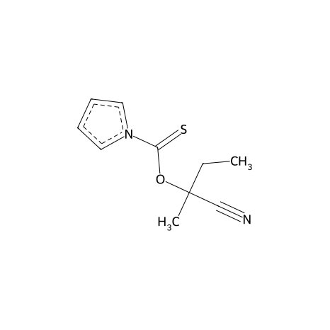 CCC(C)(C#N)OC(=S)n1cccc1